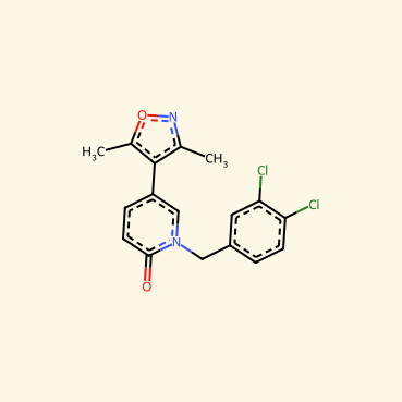 Cc1noc(C)c1-c1ccc(=O)n(Cc2ccc(Cl)c(Cl)c2)c1